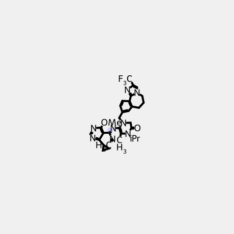 C=N/C(=N\C1=C(C)N(C(C)C)C(=O)CN1Cc1ccc2c(c1)CCCn1cc(C(F)(F)F)nc1-2)c1c(OC)ncnc1C1CC1